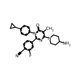 Cc1c(N2CCC(N)CC2)nc(-c2ccc(C#N)c(F)c2)n(-c2ccc(C3CC3)cc2)c1=O